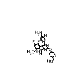 CNc1cc(F)c(F)c2c1[nH]c1nc(Oc3cnc(CO)nc3)nc(N3C=C4C(N)[C@H]4C3)c12